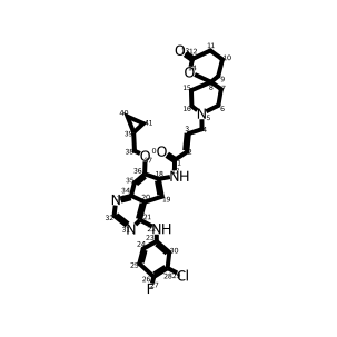 O=C(C=CCN1CCC2(CCCC(=O)O2)CC1)Nc1cc2c(Nc3ccc(F)c(Cl)c3)ncnc2cc1OCC1CC1